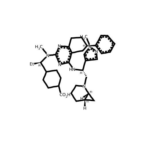 CC[C@H](C1CCC(C(=O)O)CC1)N(C)c1nc2c(c(N[C@@H](CN3CCC[C@H]4C[C@H]43)c3cnn(C)c3)n1)C[C@H](c1ccccc1)CC2